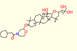 C[C@@H]1CC([C@H](O)C(C)(C)O)OC2C1[C@@]1(C)CCC34C[C@@]35CC[C@H](OC3CN(C(=O)CC6CCCCC6)CCO3)C(C)(C)C5CC[C@H]4C1(C)[C@H]2O